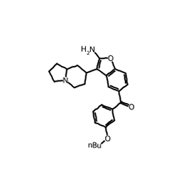 CCCCOc1cccc(C(=O)c2ccc3oc(N)c(C4CCN5CCCC5C4)c3c2)c1